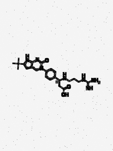 CC(C)(C)c1cc2cn(-c3ccc([C@H](CC(=O)O)NCCCNC(=N)N)cc3)c(=O)nc2[nH]1